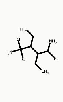 CCC([CH](N)[Pt])C(CC)C(N)(Cl)Cl